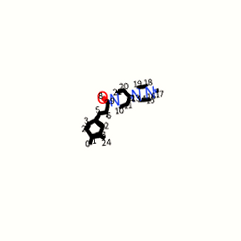 Cc1ccc(C[CH]C(=O)N2CCC(N3CCN(C)CC3)CC2)cc1C